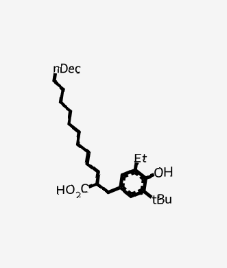 CCCCCCCCCCCCCCCCCCCCC(Cc1cc(CC)c(O)c(C(C)(C)C)c1)C(=O)O